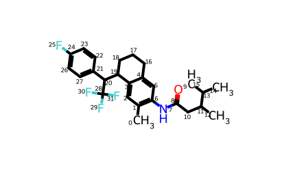 Cc1cc2c(cc1NC(=O)CC(C)C(C)C)CCCC2C(c1ccc(F)cc1)C(F)(F)F